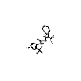 NC(=O)c1c(NC(=O)Nc2ccc(Cl)cc2C(F)(F)F)sc2c1CCOC2